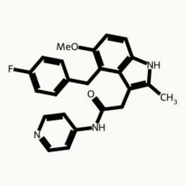 COc1ccc2[nH]c(C)c(CC(=O)Nc3ccncc3)c2c1Cc1ccc(F)cc1